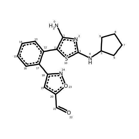 Nc1nc(NC2CCCC2)sc1-c1ccccc1-c1cc(C=O)on1